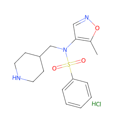 Cc1oncc1N(CC1CCNCC1)S(=O)(=O)c1ccccc1.Cl